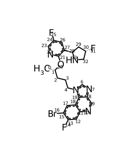 C[C@@H](CCCn1cnc2cnc3cc(F)c(Br)cc3c21)Oc1ncc(F)cc1[C@H]1C[C@H](F)CN1